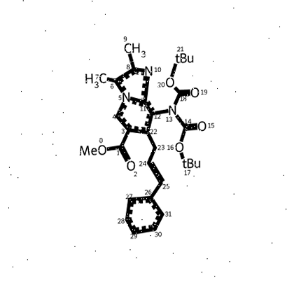 COC(=O)c1cn2c(C)c(C)nc2c(N(C(=O)OC(C)(C)C)C(=O)OC(C)(C)C)c1CC=Cc1ccccc1